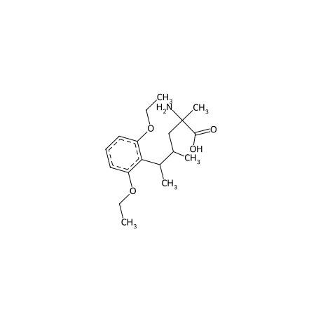 CCOc1cccc(OCC)c1C(C)C(C)CC(C)(N)C(=O)O